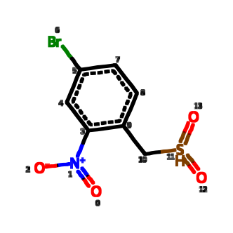 O=[N+]([O-])c1cc(Br)ccc1C[SH](=O)=O